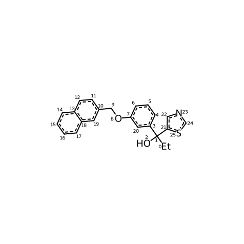 CCC(O)(c1cccc(OCc2ccc3ccccc3c2)c1)c1cncs1